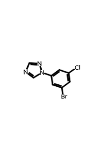 Clc1cc(Br)cc(-n2cncn2)c1